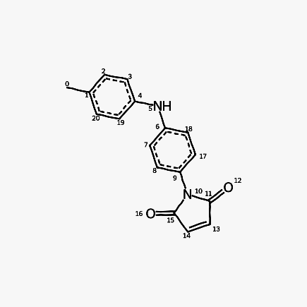 Cc1ccc(Nc2ccc(N3C(=O)C=CC3=O)cc2)cc1